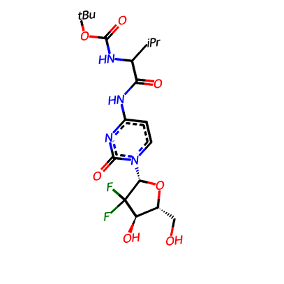 CC(C)C(NC(=O)OC(C)(C)C)C(=O)Nc1ccn([C@@H]2O[C@H](CO)[C@@H](O)C2(F)F)c(=O)n1